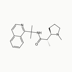 C[C@H](C(=O)NC(C)(C)c1nccc2ccccc12)[C@H]1CCCN1C